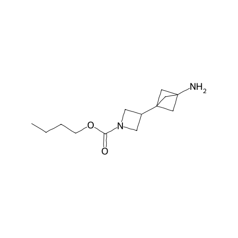 CCCCOC(=O)N1CC(C23CC(N)(C2)C3)C1